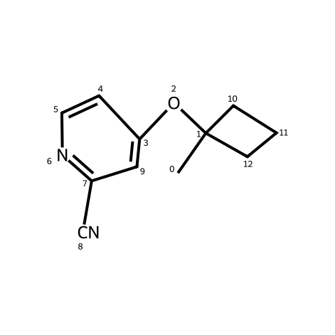 CC1(Oc2ccnc(C#N)c2)CCC1